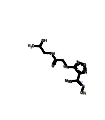 CN/C(=N\O)c1nonc1NCC(=O)NCC(C)O